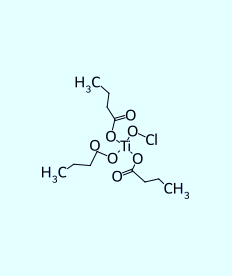 CCCC(=O)[O][Ti]([O]Cl)([O]C(=O)CCC)[O]C(=O)CCC